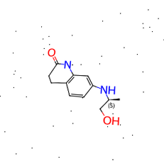 C[C@@H](CO)Nc1ccc2c(c1)[N]C(=O)CC2